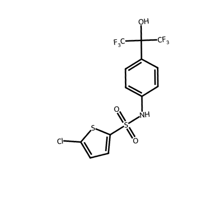 O=S(=O)(Nc1ccc(C(O)(C(F)(F)F)C(F)(F)F)cc1)c1ccc(Cl)s1